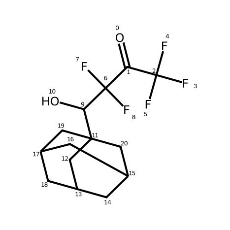 O=C(C(F)(F)F)C(F)(F)C(O)C12CC3CC(CC(C3)C1)C2